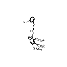 COC1=CC(CC=O)C(CCCNCCCc2cccc([N+](=O)[O-])c2)(C(C)C)C(OC)=C1OC